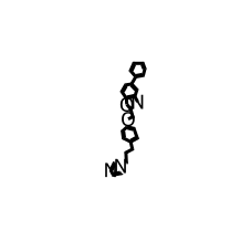 c1ccc(-c2ccc3oc(COc4ccc(CCCn5ccnc5)cc4)nc3c2)cc1